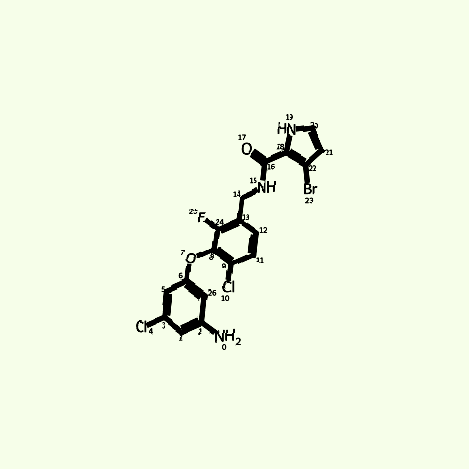 Nc1cc(Cl)cc(Oc2c(Cl)ccc(CNC(=O)c3[nH]ccc3Br)c2F)c1